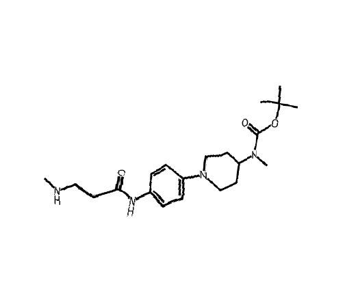 CNCCC(=O)Nc1ccc(N2CCC(N(C)C(=O)OC(C)(C)C)CC2)cc1